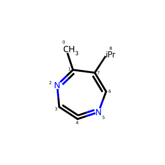 CC1=NC=C=NC=C1C(C)C